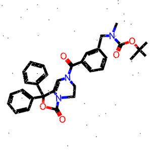 CN(Cc1cccc(C(=O)N2C=C3N(CC2)C(=O)OC3(c2ccccc2)c2ccccc2)c1)C(=O)OC(C)(C)C